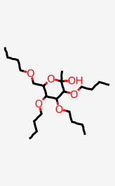 CCCCOCC1OC(C)(O)C(OCCCC)C(OCCCC)C1OCCCC